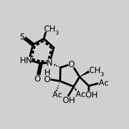 CC(=O)C(O)[C@@]1(C)O[C@@H](n2cc(C)c(=S)[nH]c2=O)[C@@](O)(C(C)=O)[C@@]1(O)C(C)=O